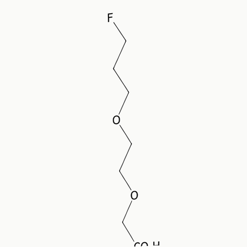 O=C(O)COCCOCCCF